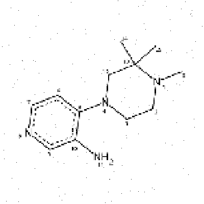 CN1CCN(c2ccncc2N)CC1(C)C